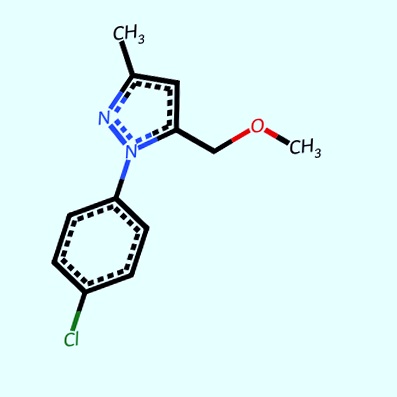 COCc1cc(C)nn1-c1ccc(Cl)cc1